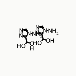 Nn1cnnc1C(O)O.Nn1cnnc1C(O)O